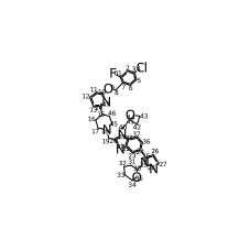 Fc1cc(Cl)ccc1COc1cccc(C2CCN(Cc3nc4cc(-c5ccnn5C5CCCCO5)ccc4n3C[C@@H]3CCO3)CC2)n1